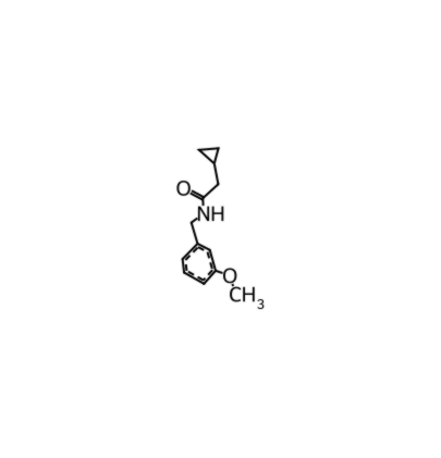 COc1cccc(CNC(=O)CC2CC2)c1